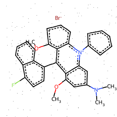 COc1cccc2c1c(-c1ccc(F)c3ccccc13)c1c(OC)cc(N(C)C)cc1[n+]2-c1ccccc1.[Br-]